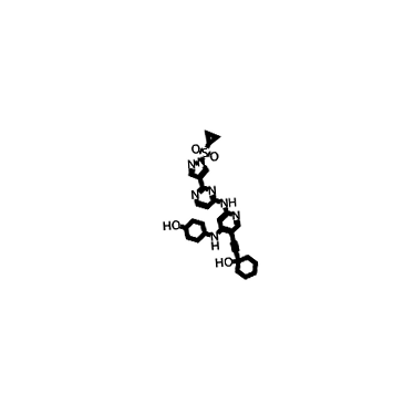 O=S(=O)(C1CC1)n1cc(-c2nccc(Nc3cc(NC4CCC(O)CC4)c(C#CC4(O)CCCCC4)cn3)n2)cn1